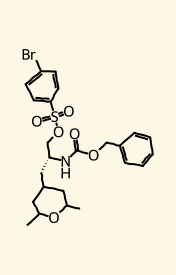 CC1CC(C[C@H](COS(=O)(=O)c2ccc(Br)cc2)NC(=O)OCc2ccccc2)CC(C)O1